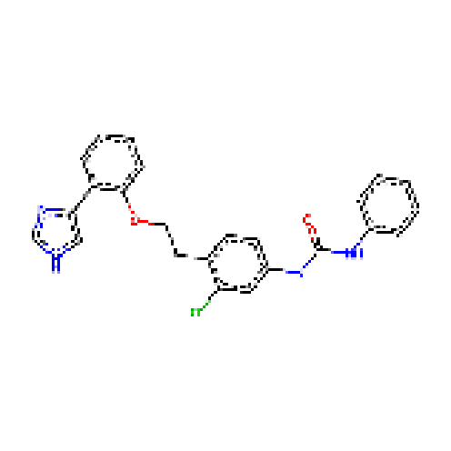 O=C(Nc1ccccc1)Nc1ccc(CCOc2ccccc2-c2c[nH]cn2)c(Cl)c1